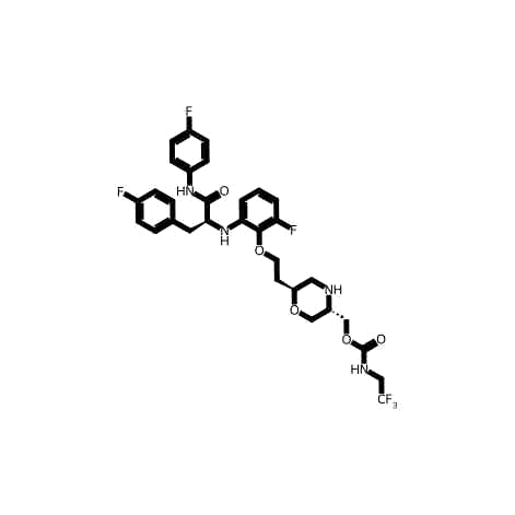 O=C(NCC(F)(F)F)OC[C@@H]1CO[C@@H](CCOc2c(F)cccc2N[C@@H](Cc2ccc(F)cc2)C(=O)Nc2ccc(F)cc2)CN1